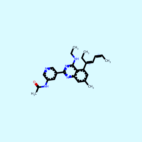 C/C=C\C=C(/CC)c1cc(C)cc2nc(-c3cncc(NC(C)=O)c3)nc(NCC)c12